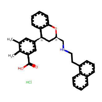 Cc1cc([C@@H]2C[C@H](CNCCc3cccc4ccccc34)Oc3ccccc32)cc(C(=O)O)c1C.Cl